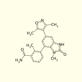 Cc1noc(C)c1-c1cc(-c2cccc(C(N)=O)c2C)c2c(c1)[nH]c(=O)n2C